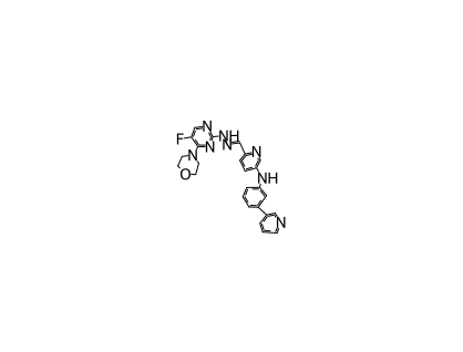 Fc1cnc(N/N=C/c2ccc(Nc3cccc(-c4cccnc4)c3)cn2)nc1N1CCOCC1